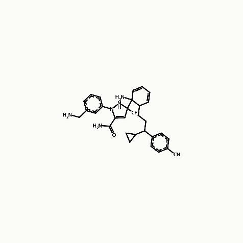 N#Cc1ccc(C(CCC2C=CC=CC2(N)C2(C(F)(F)F)C=C(C(N)=O)N(c3cccc(CN)c3)N2)C2CC2)cc1